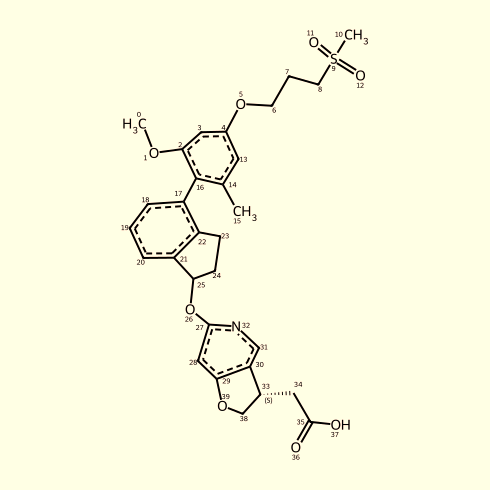 COc1cc(OCCCS(C)(=O)=O)cc(C)c1-c1cccc2c1CCC2Oc1cc2c(cn1)[C@H](CC(=O)O)CO2